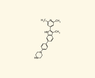 Cc1cc(-c2[nH]c3cc(-c4ccc(N5CCNCC5)cc4)ccc3c2C)cc(C)n1